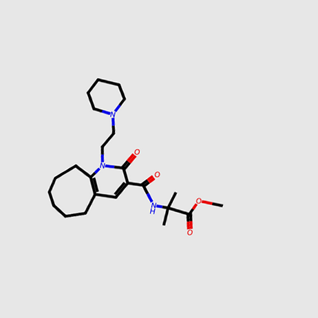 COC(=O)C(C)(C)NC(=O)c1cc2c(n(CCN3CCCCC3)c1=O)CCCCCC2